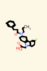 CCCN(C(=O)CCc1ccccc1)[C@H]1CCc2c(c3cc(F)ccc3n2CC(=O)O)C1